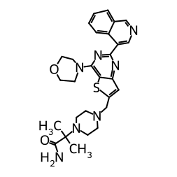 CC(C)(C(N)=O)N1CCN(Cc2cc3nc(-c4cncc5ccccc45)nc(N4CCOCC4)c3s2)CC1